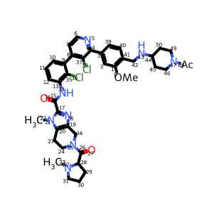 COc1cc(-c2nccc(-c3cccc(NC(=O)c4nc5c(n4C)CCN(C(=O)C4CCCN4C)C5)c3Cl)c2Cl)ccc1CNC1CCN(C(C)=O)CC1